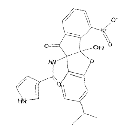 CC(C)c1ccc2c(c1)OC1(O)c3c(cccc3[N+](=O)[O-])C(=O)C21NC(=O)c1cc[nH]c1